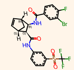 O=C(N[C@H]1[C@@H](C(=O)Nc2cccc(S(=O)(=O)C(F)(F)F)c2)[C@@H]2C=C[C@H]1C2)c1ccc(F)c(Br)c1